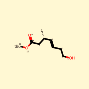 C[C@H](/C=C/CCO)CC(=O)OC(C)(C)C